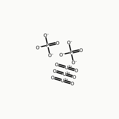 O=P([O-])([O-])[O-].O=P([O-])([O-])[O-].[O]=[U+2]=[O].[O]=[U+2]=[O].[O]=[U+2]=[O]